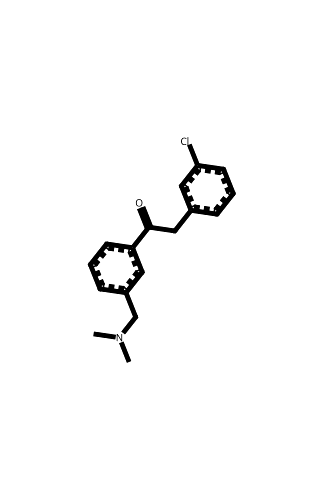 CN(C)Cc1cccc(C(=O)Cc2cccc(Cl)c2)c1